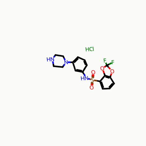 Cl.O=S(=O)(Nc1cccc(N2CCNCC2)c1)c1cccc2c1OC(F)(F)O2